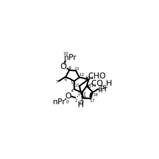 CCCOC[C@@]12CC3C(C)C(OCCC)CC3[C@@]3(C=O)C[C@H]1C=C(C(C)C)[C@@]23C(=O)O